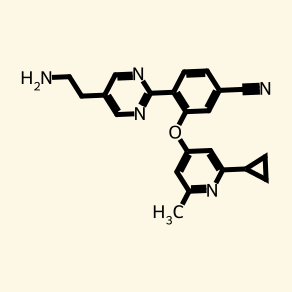 Cc1cc(Oc2cc(C#N)ccc2-c2ncc(CCN)cn2)cc(C2CC2)n1